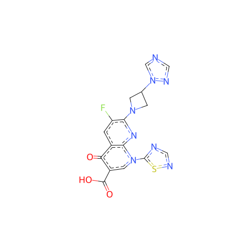 O=C(O)c1cn(-c2ncns2)c2nc(N3CC(n4cncn4)C3)c(F)cc2c1=O